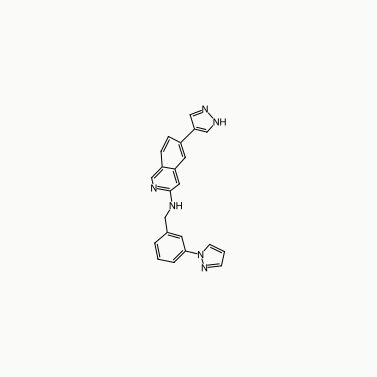 c1cc(CNc2cc3cc(-c4cn[nH]c4)ccc3cn2)cc(-n2cccn2)c1